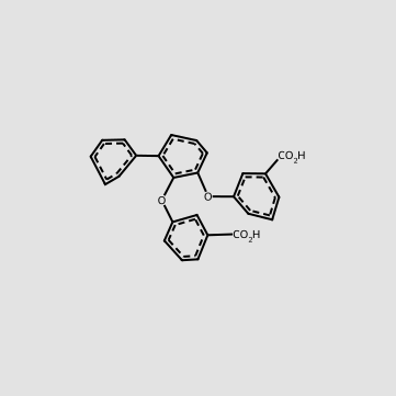 O=C(O)c1cccc(Oc2cccc(-c3ccccc3)c2Oc2cccc(C(=O)O)c2)c1